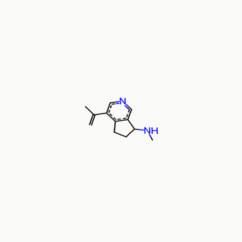 C=C(C)c1cncc2c1CCC2NC